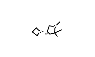 CN1C[C@@H](N2CCC2)CC1(C)C